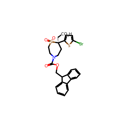 O=C(O)C[C@]1(c2ccc(Br)s2)CCN(C(=O)OCC2c3ccccc3-c3ccccc32)CCS1(=O)=O